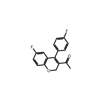 CC(=O)C1=C(c2ccc(F)cc2)c2cc(F)ccc2OC1